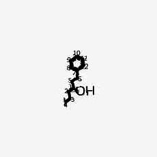 O[C@H](CCI)CCc1ccccc1